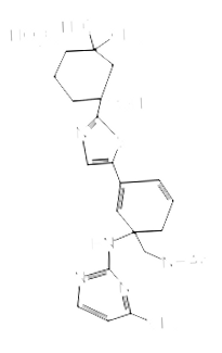 CC(=O)NCC1(Nc2nccc(C(F)(F)F)n2)C=C(c2cnc([C@@]3(O)CC[C@H](C(=O)O)C(C)(C)C3)s2)C=CC1